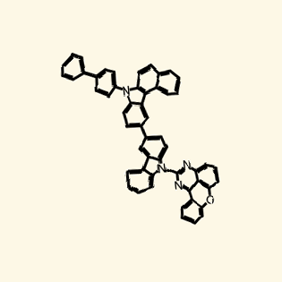 c1ccc(-c2ccc(-n3c4ccc(-c5ccc6c(c5)c5ccccc5n6-c5nc6c7c(cccc7n5)Oc5ccccc5-6)cc4c4c5ccccc5ccc43)cc2)cc1